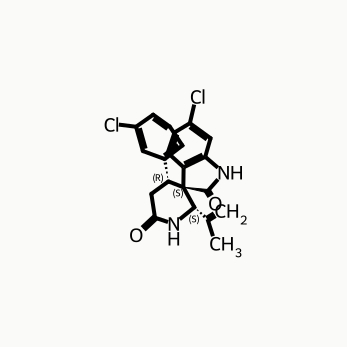 C=C(C)[C@@H]1NC(=O)C[C@H](c2cccc(Cl)c2)[C@@]12C(=O)Nc1cc(Cl)ccc12